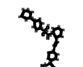 O=C(O)c1ccc(C#Cc2ccccc2NS(=O)(=O)c2ccc(-c3ccccc3)cc2)cc1